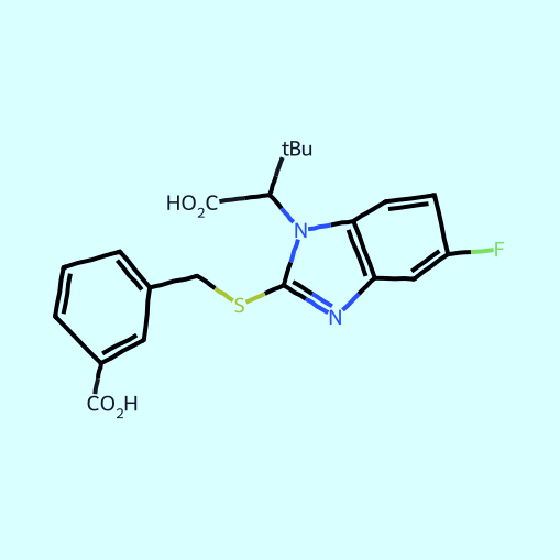 CC(C)(C)C(C(=O)O)n1c(SCc2cccc(C(=O)O)c2)nc2cc(F)ccc21